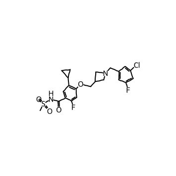 CS(=O)(=O)NC(=O)c1cc(C2CC2)c(OCC2CN(Cc3cc(F)cc(Cl)c3)C2)cc1F